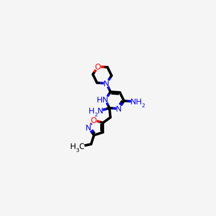 CCc1cc(CC2(N)N=C(N)C=C(N3CCOCC3)N2)on1